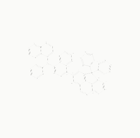 c1ccc(N(c2cccc3ccccc23)c2ccc(-c3cc4c5c(ccc6cccc(c65)C4(c4ccccc4)c4ccccc4)c3)c3ccccc23)cc1